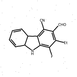 CCc1c(F)c2c(c(C#N)c1C=O)C1C=CC=CC1N2